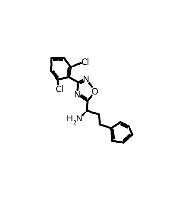 N[C@H](CCc1ccccc1)c1nc(-c2c(Cl)cccc2Cl)no1